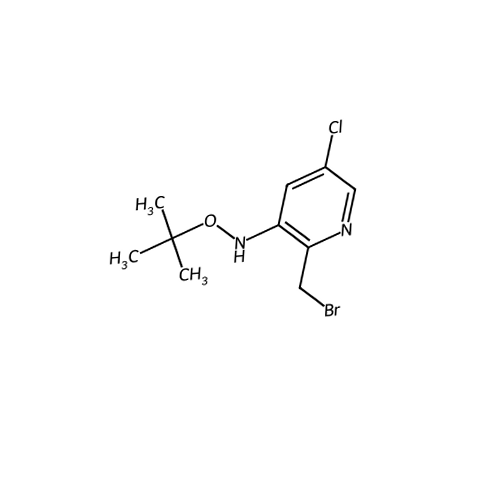 CC(C)(C)ONc1cc(Cl)cnc1CBr